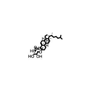 CC(C)CCC[C@@H](C)[C@H]1CC[C@H]2[C@@H]3CC=C4CC(OC(C(O)CO)P(=O)(O)O)CC[C@]4(C)[C@H]3CC[C@]12C